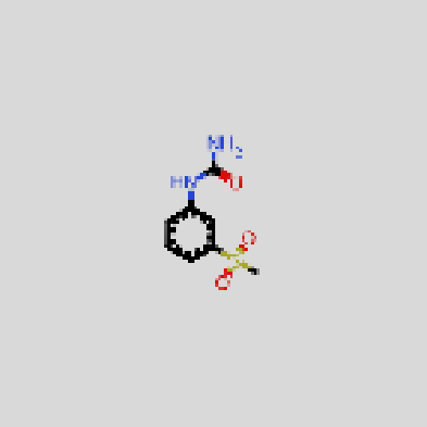 CS(=O)(=O)c1cccc(NC(N)=O)c1